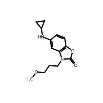 COCCCn1c(=O)oc2ccc(NC3CC3)cc21